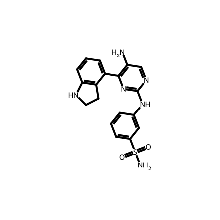 Nc1cnc(Nc2cccc(S(N)(=O)=O)c2)nc1-c1cccc2c1CCN2